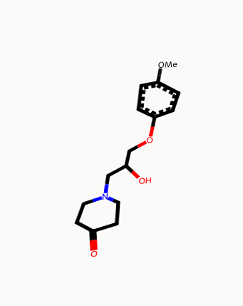 COc1ccc(OCC(O)CN2CCC(=O)CC2)cc1